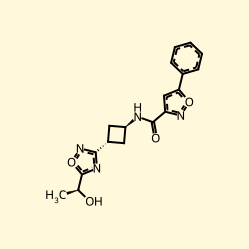 C[C@H](O)c1nc([C@H]2C[C@H](NC(=O)c3cc(-c4ccccc4)on3)C2)no1